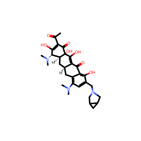 CC(=O)C1=C(O)[C@@H](N(C)C)[C@@H]2C[C@@H]3Cc4c(N(C)C)cc(CN5CC6CC6C5)c(O)c4C(=O)C3=C(O)[C@]2(O)C1=O